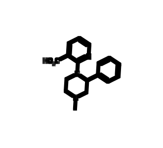 CN1CCN(c2ncccc2C(=O)O)C(c2ccccc2)C1